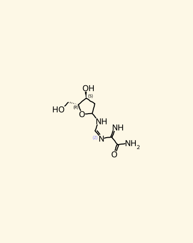 N=C(/N=C\NC1C[C@H](O)[C@@H](CO)O1)C(N)=O